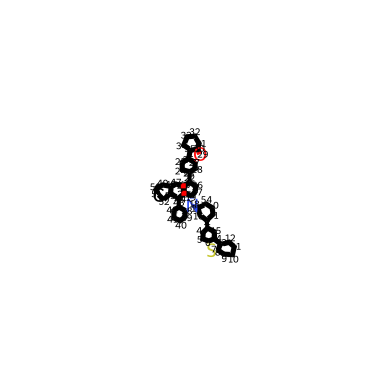 c1cc(-c2ccc3sc4ccccc4c3c2)cc(N(c2ccc(-c3ccc4c(c3)oc3ccccc34)cc2)c2ccccc2-c2cccc3ccccc23)c1